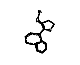 CCOC1=C(c2cccc3ccccc23)[N]CC1